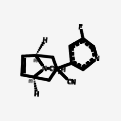 N#CC1(c2cncc(F)c2)C[C@H]2C=C[C@@H](C1)N2C(=O)O